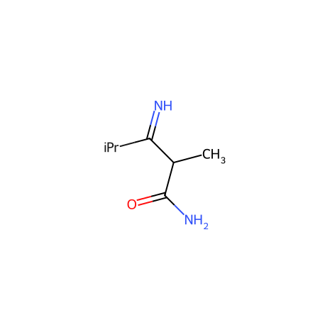 CC(C)C(=N)C(C)C(N)=O